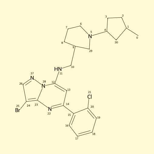 CC1CCC(N2CCCC(CNc3cc(-c4ccccc4Cl)nc4c(Br)cnn34)C2)C1